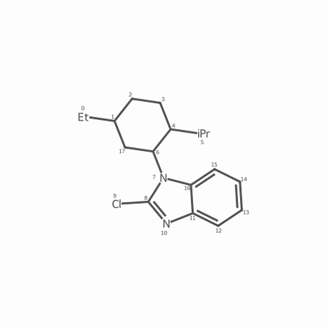 CCC1CCC(C(C)C)C(n2c(Cl)nc3ccccc32)C1